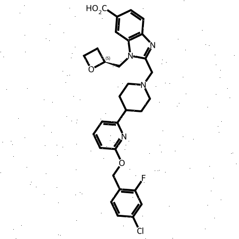 O=C(O)c1ccc2nc(CN3CCC(c4cccc(OCc5ccc(Cl)cc5F)n4)CC3)n(C[C@@H]3CCO3)c2c1